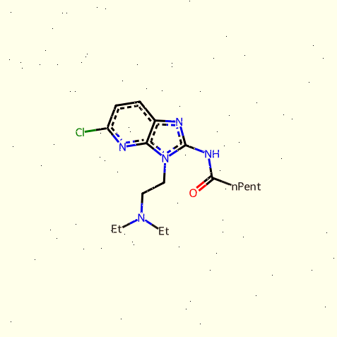 CCCCCC(=O)Nc1nc2ccc(Cl)nc2n1CCN(CC)CC